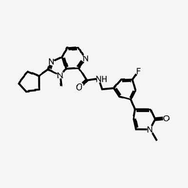 Cn1ccc(-c2cc(F)cc(CNC(=O)c3nccc4nc(C5CCCC5)n(C)c34)c2)cc1=O